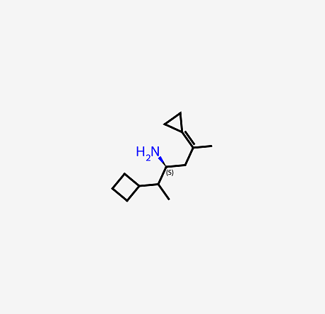 CC(C[C@H](N)C(C)C1CCC1)=C1CC1